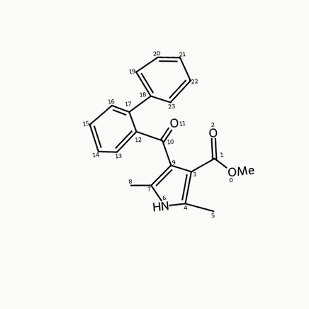 COC(=O)c1c(C)[nH]c(C)c1C(=O)c1ccccc1-c1ccccc1